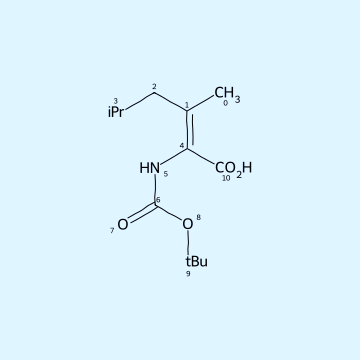 CC(CC(C)C)=C(NC(=O)OC(C)(C)C)C(=O)O